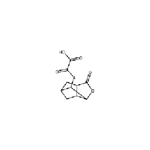 O=C(O)C(=O)SC1C2CC3C(=O)OC1C3C2